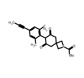 CC#Cc1cc(C)c(C2C(=O)CC3(CC2=O)CN(C(=O)C(C)(C)C)C3)c(C)c1